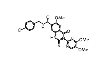 COc1cc2c(=O)n(-c3ncc(OC)c(OC)n3)c(=S)[nH]c2cc1C(=O)NCc1ccc(Cl)cc1